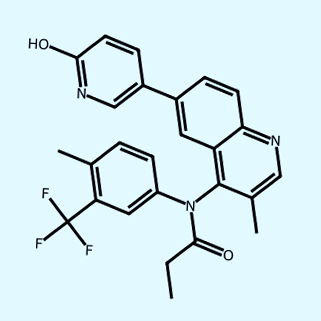 CCC(=O)N(c1ccc(C)c(C(F)(F)F)c1)c1c(C)cnc2ccc(-c3ccc(O)nc3)cc12